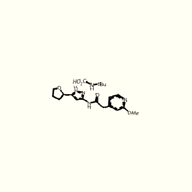 CC(C)(C)NC(=O)O.COc1cc(CC(=O)Nc2cc(C3CCCO3)[nH]n2)ccn1